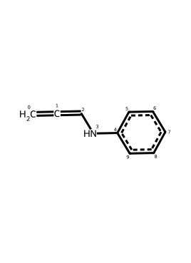 C=C=CNc1ccccc1